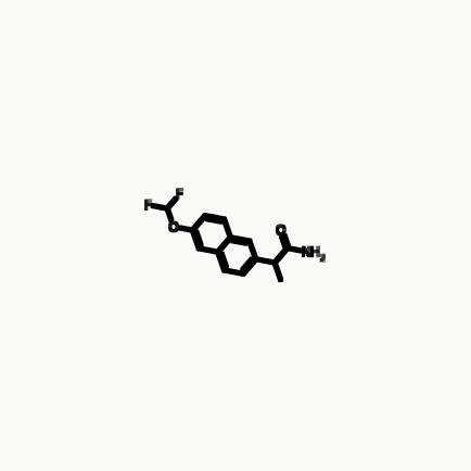 CC(C(N)=O)c1ccc2cc(OC(F)F)ccc2c1